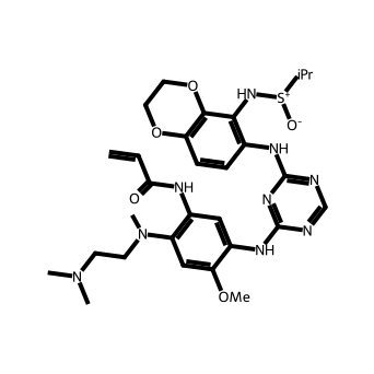 C=CC(=O)Nc1cc(Nc2ncnc(Nc3ccc4c(c3N[S+]([O-])C(C)C)OCCO4)n2)c(OC)cc1N(C)CCN(C)C